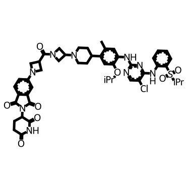 Cc1cc(Nc2ncc(Cl)c(Nc3ccccc3S(=O)(=O)C(C)C)n2)c(OC(C)C)cc1C1CCN(C2CN(C(=O)C3CN(c4ccc5c(c4)C(=O)N(C4CCC(=O)NC4=O)C5=O)C3)C2)CC1